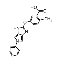 Cc1ccc(Oc2nc3cn(-c4ccccc4)cc3[nH]2)cc1C(=O)O